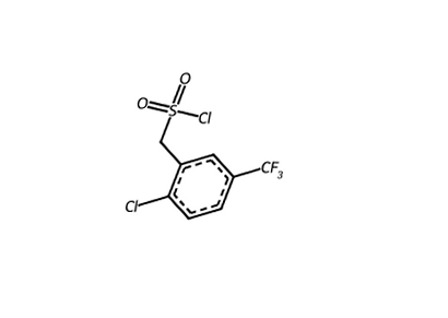 O=S(=O)(Cl)Cc1cc(C(F)(F)F)ccc1Cl